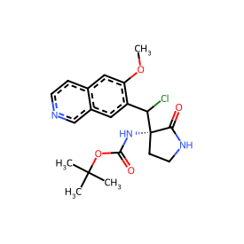 COc1cc2ccncc2cc1C(Cl)[C@]1(NC(=O)OC(C)(C)C)CCNC1=O